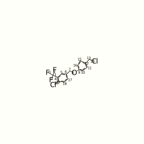 FC(F)(F)c1cc(COc2ccc(CCl)cc2)ccc1Cl